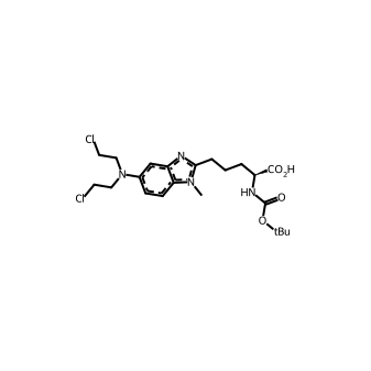 Cn1c(CCC[C@H](NC(=O)OC(C)(C)C)C(=O)O)nc2cc(N(CCCl)CCCl)ccc21